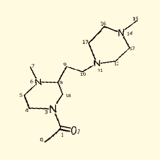 CC(=O)N1CCN(C)C(CCN2CCN(C)CC2)C1